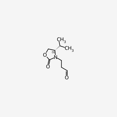 CC(C)[C@H]1COC(=O)N1CCC=O